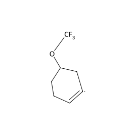 FC(F)(F)OC1C[C]=CCC1